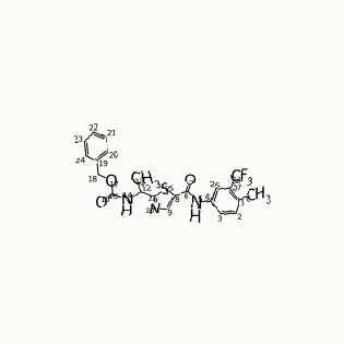 Cc1ccc(NC(=O)c2cnc(C(C)NC(=O)OCc3ccccc3)s2)cc1C(F)(F)F